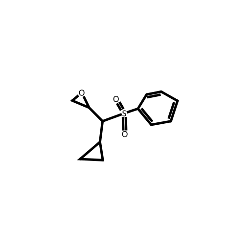 O=S(=O)(c1ccccc1)C(C1CC1)C1CO1